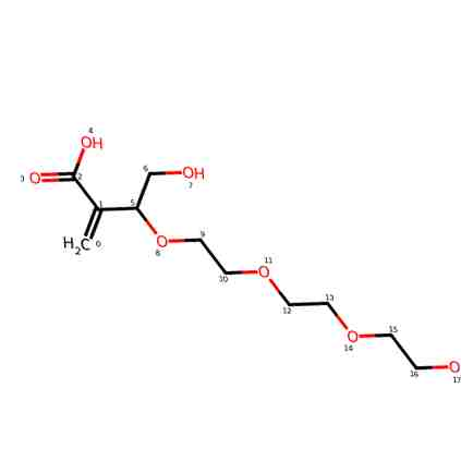 C=C(C(=O)O)C(CO)OCCOCCOCCO